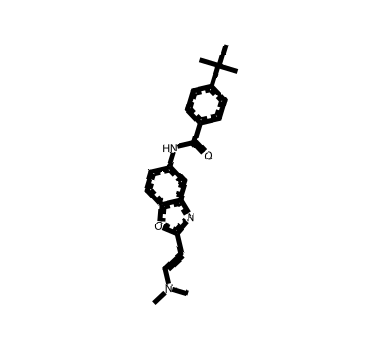 CN(C)C=Cc1nc2cc(NC(=O)c3ccc(C(C)(C)C)cc3)ccc2o1